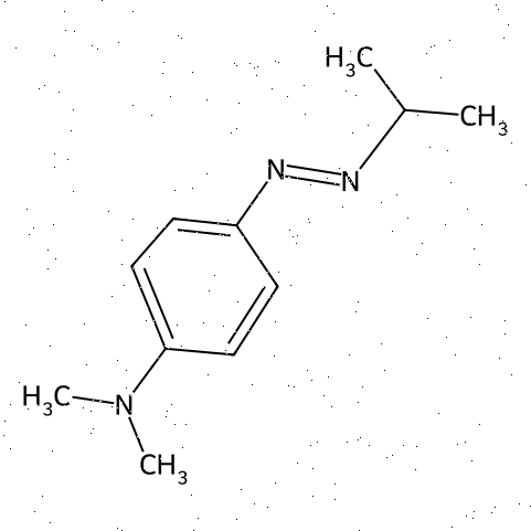 CC(C)/N=N/c1ccc(N(C)C)cc1